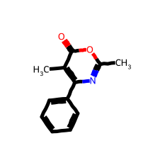 Cc1nc(-c2ccccc2)c(C)c(=O)o1